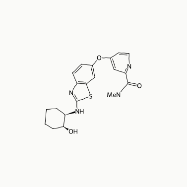 CNC(=O)c1cc(Oc2ccc3nc(N[C@@H]4CCCC[C@@H]4O)sc3c2)ccn1